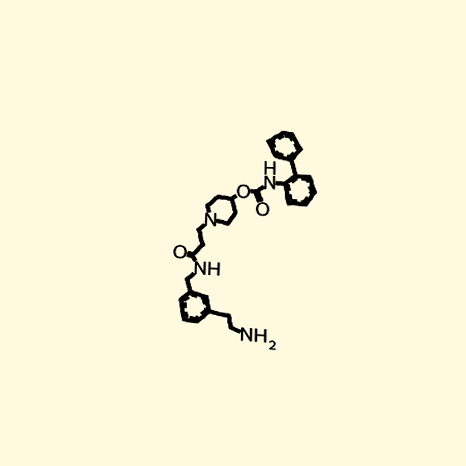 NCCc1cccc(CNC(=O)CCN2CCC(OC(=O)Nc3ccccc3-c3ccccc3)CC2)c1